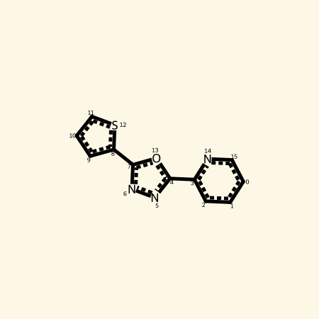 c1ccc(-c2nnc(-c3cccs3)o2)nc1